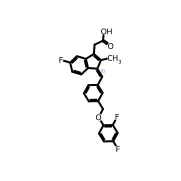 CC1=C(CC(=O)O)c2cc(F)ccc2/C1=C\c1cccc(COc2ccc(F)cc2F)c1